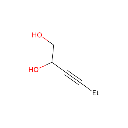 CCC#CC(O)CO